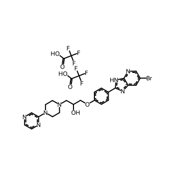 O=C(O)C(F)(F)F.O=C(O)C(F)(F)F.OC(COc1ccc(-c2nc3cc(Br)cnc3[nH]2)cc1)CN1CCN(c2cnccn2)CC1